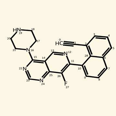 C#Cc1cccc2cccc(-c3ncc4c(N5CCNCC5)ncnc4c3F)c12